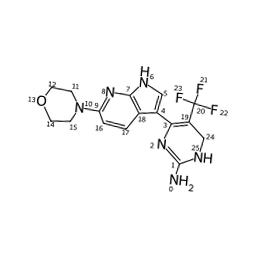 NC1=NC(c2c[nH]c3nc(N4CCOCC4)ccc23)=C(C(F)(F)F)CN1